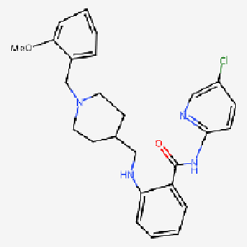 COc1ccccc1CN1CCC(CNc2ccccc2C(=O)Nc2ccc(Cl)cn2)CC1